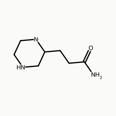 NC(=O)CCC1CNCC[N]1